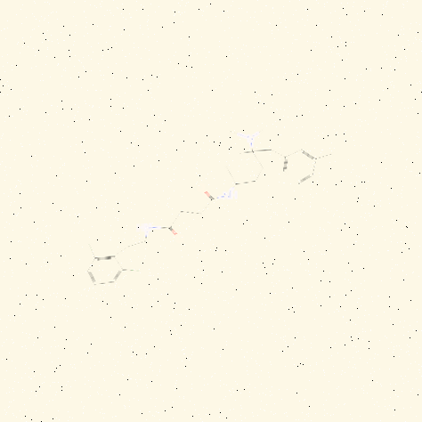 Cc1cccc(CC2(N(C)C)CCC(NC(=O)CCC(=O)NCCc3c(Cl)cccc3Cl)CC2)c1